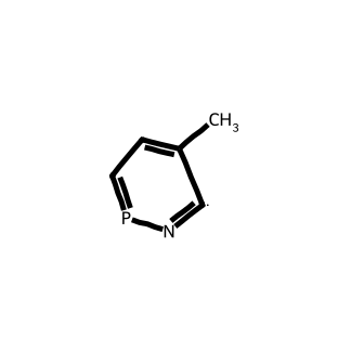 Cc1[c]npcc1